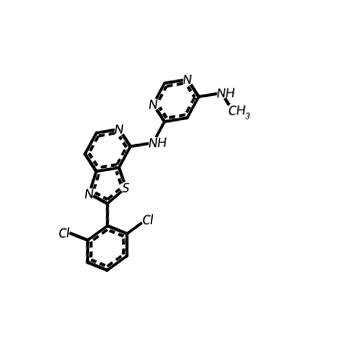 CNc1cc(Nc2nccc3nc(-c4c(Cl)cccc4Cl)sc23)ncn1